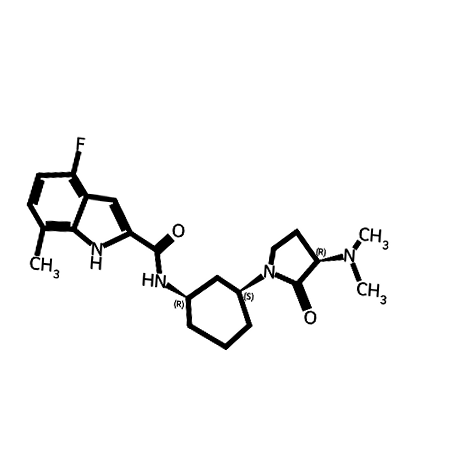 Cc1ccc(F)c2cc(C(=O)N[C@@H]3CCC[C@H](N4CC[C@@H](N(C)C)C4=O)C3)[nH]c12